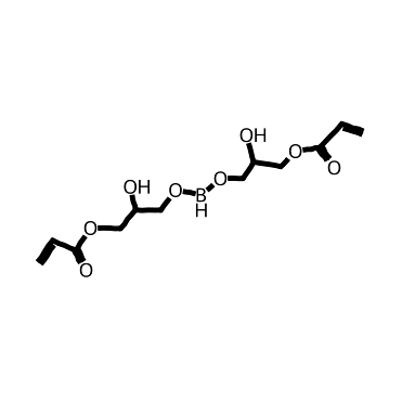 C=CC(=O)OCC(O)COBOCC(O)COC(=O)C=C